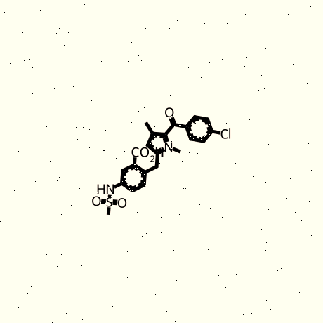 Cc1cc(Cc2ccc(NS(C)(=O)=O)cc2C(=O)O)n(C)c1C(=O)c1ccc(Cl)cc1